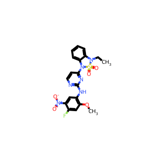 CCN1c2ccccc2N(c2ccnc(Nc3cc([N+](=O)[O-])c(F)cc3OC)n2)S1(=O)=O